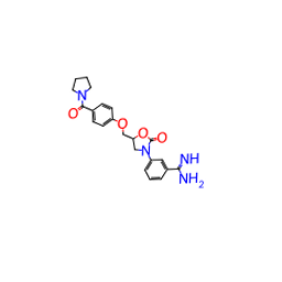 N=C(N)c1cccc(N2CC(COc3ccc(C(=O)N4CCCC4)cc3)OC2=O)c1